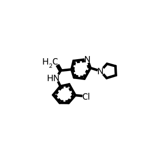 C=C(Nc1cccc(Cl)c1)c1ccc(N2CCCC2)nc1